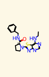 CCNc1ncnc2nc(N3CCC[C@@H]3C(=O)NCc3ccccc3)sc12